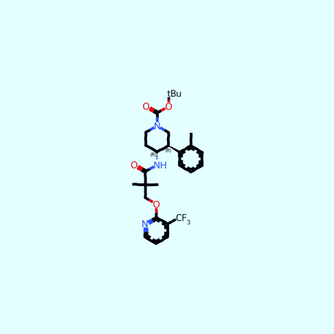 Cc1ccccc1[C@@H]1CN(C(=O)OC(C)(C)C)CC[C@H]1NC(=O)C(C)(C)COc1ncccc1C(F)(F)F